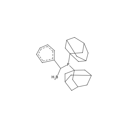 BC(c1ccccc1)P(C12CC3CC(CC(C3)C1)C2)C12CC3CC(CC(C3)C1)C2